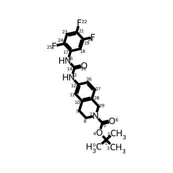 CC(C)(C)OC(=O)N1CCc2cc(NC(=O)Nc3cc(F)c(F)cc3F)ccc2C1